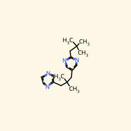 CC(C)(C)Cc1ncc(CC(C)(C)Cc2cnccn2)cn1